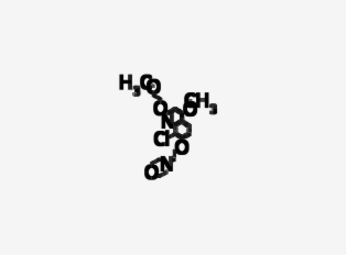 COCCOc1cc(OC)c2ccc(OCCN3CCOCC3)c(Cl)c2n1